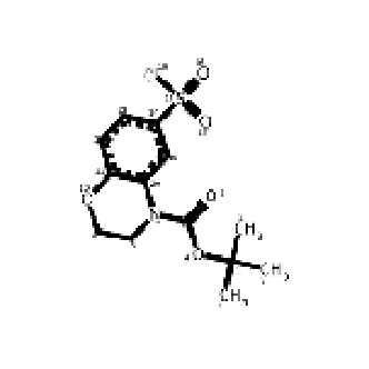 CC(C)(C)OC(=O)N1CCOc2ccc(S(=O)(=O)Cl)cc21